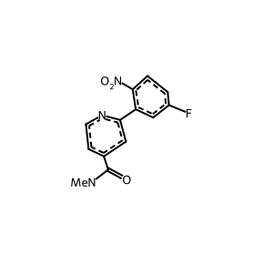 CNC(=O)c1ccnc(-c2cc(F)ccc2[N+](=O)[O-])c1